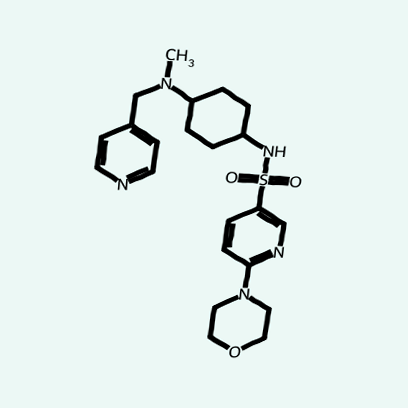 CN(Cc1ccncc1)C1CCC(NS(=O)(=O)c2ccc(N3CCOCC3)nc2)CC1